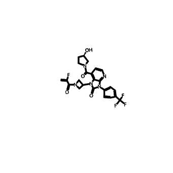 C=C(F)C(=O)N1CC(n2c(=O)n(-c3ccc(C(F)(F)F)cc3)c3nccc(C(=O)N4CC[C@@H](O)C4)c32)C1